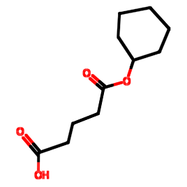 O=C(O)CCCC(=O)OC1CCCCC1